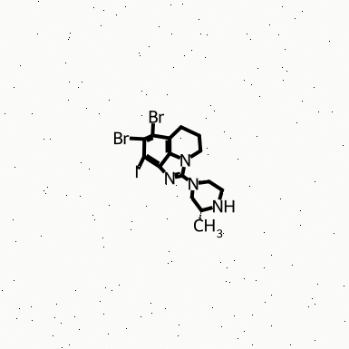 C[C@@H]1CN(c2nc3c(I)c(Br)c(Br)c4c3n2CCC4)CCN1